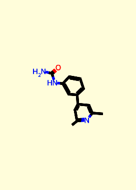 Cc1cc(-c2cccc(NC(N)=O)c2)cc(C)n1